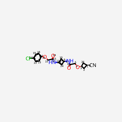 N#C[C@H]1C[C@@H](OCC(=O)NC23CC(NC(=O)COc4ccc(Cl)cc4)(C2)C3)C1